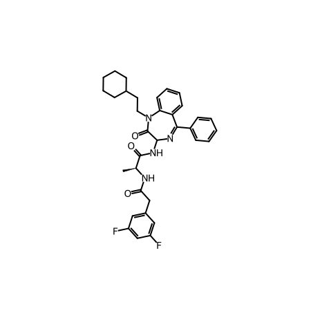 C[C@H](NC(=O)Cc1cc(F)cc(F)c1)C(=O)NC1N=C(c2ccccc2)c2ccccc2N(CCC2CCCCC2)C1=O